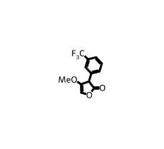 COC1=COC(=O)C1c1cccc(C(F)(F)F)c1